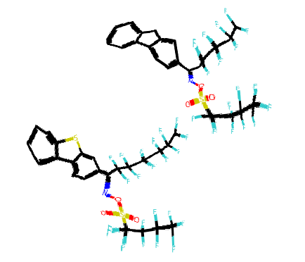 O=S(=O)(O/N=C(/c1ccc2c(c1)Cc1ccccc1-2)C(F)(F)C(F)(F)C(F)(F)C(F)F)C(F)(F)C(F)(F)C(F)(F)C(F)(F)F.O=S(=O)(O/N=C(/c1ccc2c(c1)sc1ccccc12)C(F)(F)C(F)(F)C(F)(F)C(F)(F)C(F)(F)C(F)F)C(F)(F)C(F)(F)C(F)(F)C(F)(F)F